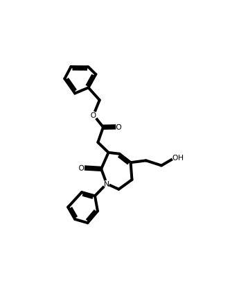 O=C(CC1C=C(CCO)CCN(c2ccccc2)C1=O)OCc1ccccc1